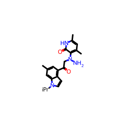 Cc1cc(C(=O)CN(N)c2c(C)cc(C)[nH]c2=O)c2ccn(C(C)C)c2c1